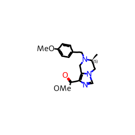 COC(=O)c1ncn2c1CN(Cc1ccc(OC)cc1)[C@@H](C)C2